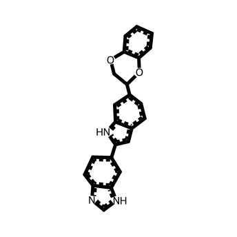 c1ccc2c(c1)OCC(c1ccc3cc(-c4ccc5nc[nH]c5c4)[nH]c3c1)O2